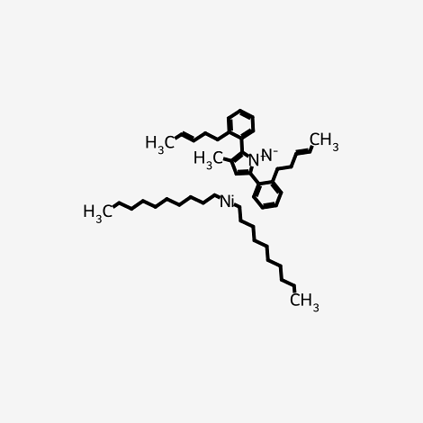 CC=CCCc1ccccc1C1=CC(C)=C(c2ccccc2CCC=CC)[N+]1=[N-].CCCCCCCCC[CH2][Ni][CH2]CCCCCCCCC